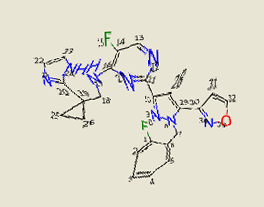 Fc1ccccc1Cn1nc(-c2ncc(F)c(NCC3(c4ncc[nH]4)CC3)n2)cc1-c1ccon1